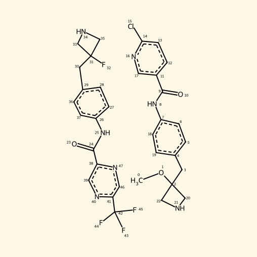 COC1(Cc2ccc(NC(=O)c3ccc(Cl)nc3)cc2)CNC1.O=C(Nc1ccc(CC2(F)CNC2)cc1)c1cnc(C(F)(F)F)cn1